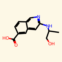 CC(CO)Nc1cc2cc(C(=O)O)ccc2cn1